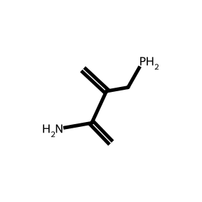 C=C(N)C(=C)CP